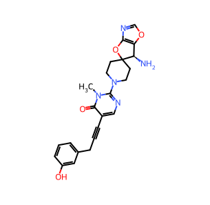 Cn1c(N2CCC3(CC2)Oc2ncoc2[C@H]3N)ncc(C#CCc2cccc(O)c2)c1=O